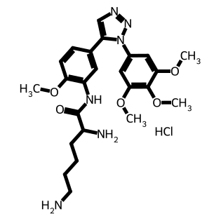 COc1ccc(-c2cnnn2-c2cc(OC)c(OC)c(OC)c2)cc1NC(=O)C(N)CCCCN.Cl